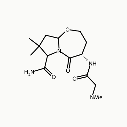 CNCC(=O)N[C@H]1CCOC2CC(C)(C)C(C(N)=O)N2C1=O